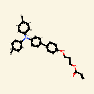 C=CC(=O)OCCCOc1ccc(-c2ccc(N(c3ccc(C)cc3)c3ccc(C)cc3)cc2)cc1